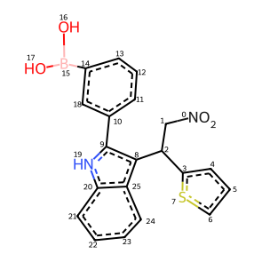 O=[N+]([O-])CC(c1cccs1)c1c(-c2cccc(B(O)O)c2)[nH]c2ccccc12